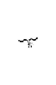 CCCOCCC.[AlH3].[Zn]